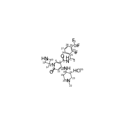 C[C@@H](NC(=O)c1cn(C2(C)CNC2)c(=O)cc1NC1CCN(C)CC1)c1cccc(C(F)F)c1F.Cl